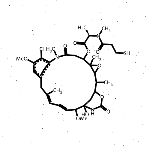 COc1cc2cc(c1Cl)N(C)C(=O)CC(OC(=O)[C@@H](C)N(C)C(=O)CCS)C1(C)OC1C(C)C1CC(O)(NC(=O)O1)C(OC)/C=C/C=C(\C)C2